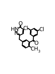 Cc1ccc(Cc2ccc(=O)[nH]n2)cc1C(=O)c1cc(Cl)cc(Cl)c1